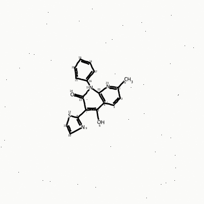 Cc1ccc2c(O)c(-c3nccs3)c(=O)n(-c3ccccc3)c2n1